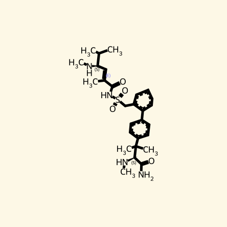 CN[C@H](C(N)=O)C(C)(C)c1ccc(-c2ccccc2CS(=O)(=O)NC(=O)/C(C)=C/[C@@H](NC)C(C)C)cc1